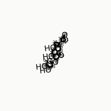 C[C@H]1O[C@@H](O[C@H]2CC[C@]3(C=O)C4CC[C@]5(C)[C@@H](C6=CC(=O)OC6)CC[C@]5(O)C4CC[C@]3(O)C2)C[C@H](O)[C@@H]1O